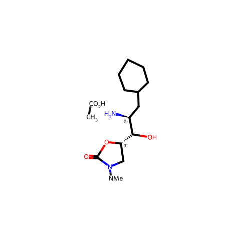 CC(=O)O.CNN1C[C@@H](C(O)[C@@H](N)CC2CCCCC2)OC1=O